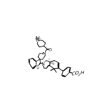 CC(=O)N1CCC(C(=O)N2CCC(C(=O)N3CC=C4C(C)(C)C(c5ccc(C(=O)O)cc5)=CC[C@]4(C)C3)(c3ccccc3)CC2)CC1